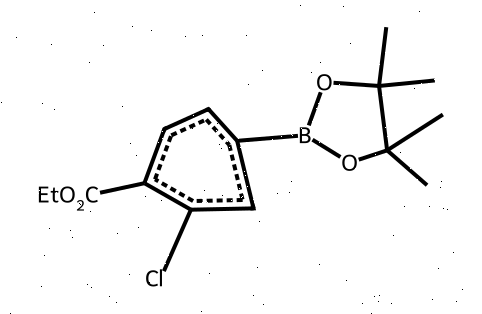 CCOC(=O)c1ccc(B2OC(C)(C)C(C)(C)O2)cc1Cl